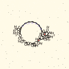 CC1O[C@@H](O[C@H]2/C=C/C=C/C=C/C=C/C=C/C=C/C=C/[C@H](C)[C@@H](O)[C@H](C)[C@@H](C)OC(=O)C[C@H](O)C[C@H](O)CC[C@@H](O)[C@H](O)C[C@H](O)C[C@]3(O)C[C@H](O)[C@@H](C(=O)O)[C@H](C2)O3)C(O)C(N)[C@@H]1O